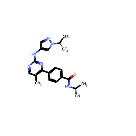 Cc1cnc(Nc2cnn([C@H](C)C(F)(F)F)c2)nc1-c1ccc(C(=O)N[C@@H](C)C#N)cc1